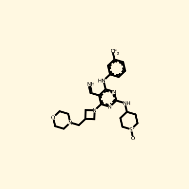 N=Cc1c(Nc2cccc(C(F)(F)F)c2)nc(NC2CC[S+]([O-])CC2)nc1N1CC(CN2CCOCC2)C1